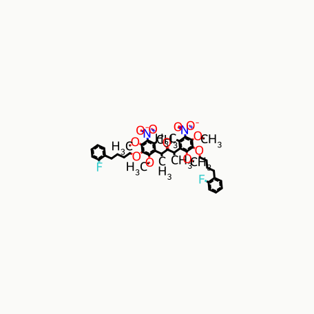 COc1c(OCCCCc2ccccc2F)c(OC)c([N+](=O)[O-])c(C)c1C(C)C(=O)C(C)c1c(C)c([N+](=O)[O-])c(OC)c(OCCCCc2ccccc2F)c1OC